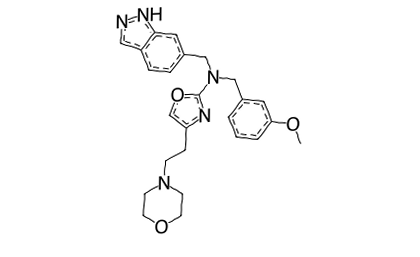 COc1cccc(CN(Cc2ccc3cn[nH]c3c2)c2nc(CCN3CCOCC3)co2)c1